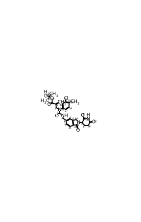 C=C(CN(C(=O)NCc1ccc2c(c1)CN(C1CCC(=O)NC1=O)C2=O)c1ccc(C)c(Cl)c1)C(=O)OC(C)(C)C